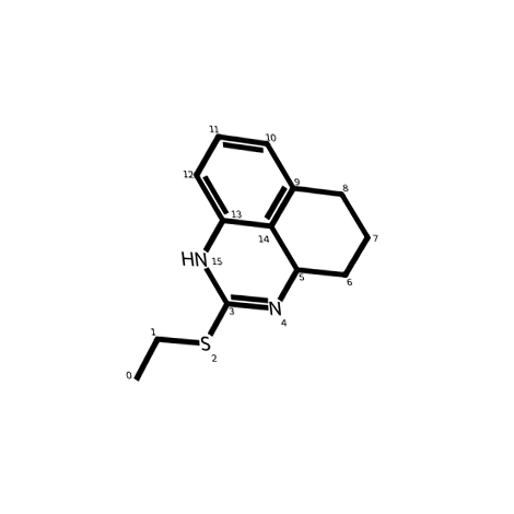 CCSC1=NC2CCCc3cccc(c32)N1